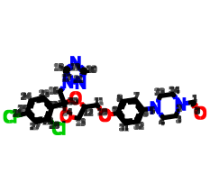 O=CN1CCN(c2ccc(OCC3COC(Cn4cncn4)(c4ccc(Cl)cc4Cl)O3)cc2)CC1